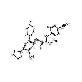 CN1CCC(c2cc(C3CCCC3)c(O)cc2NC(=O)C2CNc3cc(C#N)ccc3O2)CC1